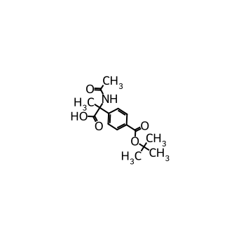 CC(=O)NC(C)(C(=O)O)c1ccc(C(=O)OC(C)(C)C)cc1